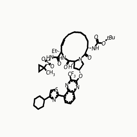 CC[C@]1(C(=O)NS(=O)(=O)C2(C)CC2)/C=C\CCCCC[C@H](NC(=O)OC(C)(C)C)C(=O)N2C[C@H](Oc3nc4cccc(-c5nc(C6CCCCC6)cs5)c4nc3C(F)(F)F)C[C@H]2C(=O)N1